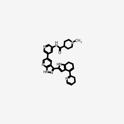 CN1CCC(C(=O)Nc2cncc(-c3cnc4[nH]nc(-c5cc6c([nH]5)CCC=C6C5=NC=CCC5)c4c3)c2)CC1